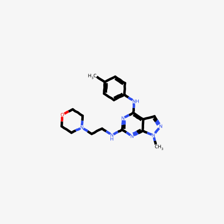 Cc1ccc(Nc2nc(NCCN3CCOCC3)nc3c2cnn3C)cc1